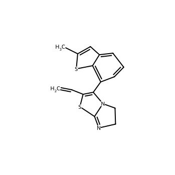 C=CC1=C(c2cccc3cc(C)sc23)N2CCN=C2S1